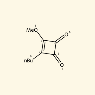 CCCCc1c(OC)c(=O)c1=O